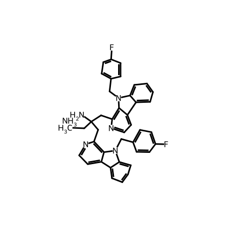 CCC(N)(Cc1nccc2c3ccccc3n(Cc3ccc(F)cc3)c12)Cc1nccc2c3ccccc3n(Cc3ccc(F)cc3)c12.N